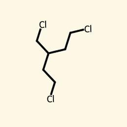 ClCC[C](CCl)CCCl